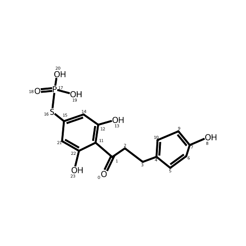 O=C(CCc1ccc(O)cc1)c1c(O)cc(SP(=O)(O)O)cc1O